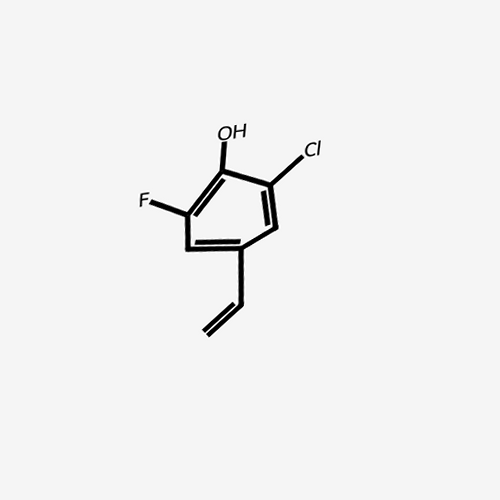 C=Cc1cc(F)c(O)c(Cl)c1